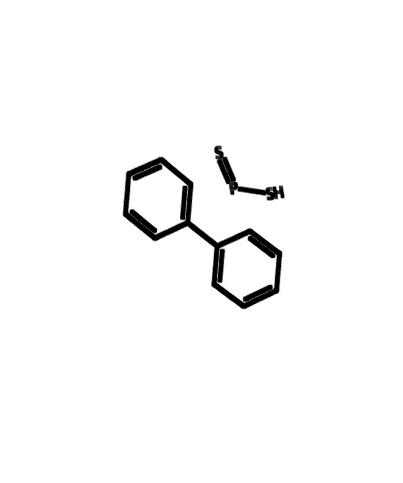 S=PS.c1ccc(-c2ccccc2)cc1